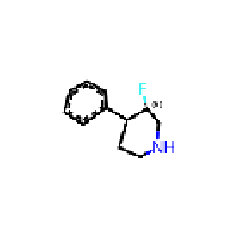 F[C@H]1CNCCC1c1ccccc1